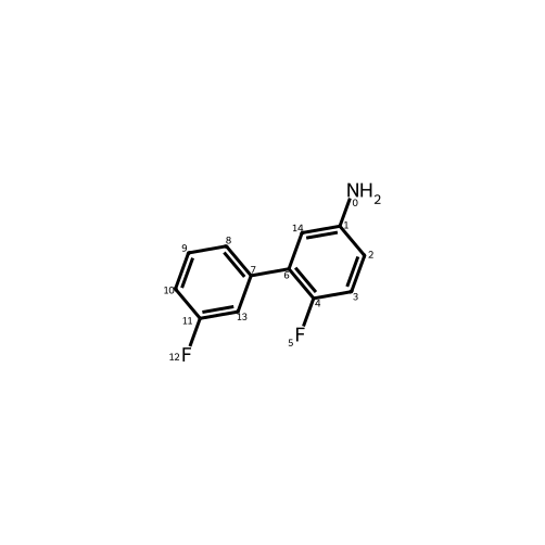 Nc1ccc(F)c(-c2cccc(F)c2)c1